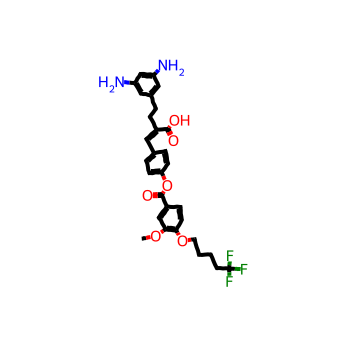 COc1cc(C(=O)Oc2ccc(C=C(CCc3cc(N)cc(N)c3)C(=O)O)cc2)ccc1OCCCCC(F)(F)F